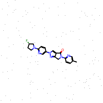 Cc1ccc(N2Cc3nn(-c4ccc(N5CC[C@@H](F)C5)nc4)cc3C2=O)nc1